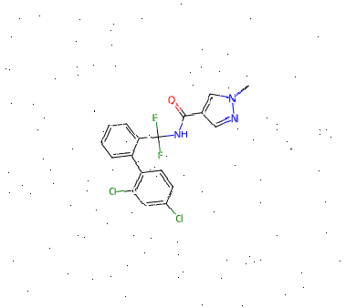 Cn1cc(C(=O)NC(F)(F)c2ccccc2-c2ccc(Cl)cc2Cl)cn1